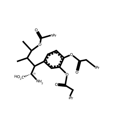 CCCC(=O)OC(C)C(C)C(c1ccc(OC(=O)CC(C)C)c(OC(=O)CC(C)C)c1)[C@H](N)C(=O)O